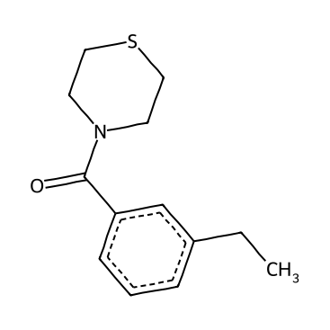 CCc1cccc(C(=O)N2CCSCC2)c1